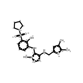 Cc1cc(CNc2no[n+](O)c2Nc2cccc(S(=O)(=O)N3CCCC3)c2O)oc1C